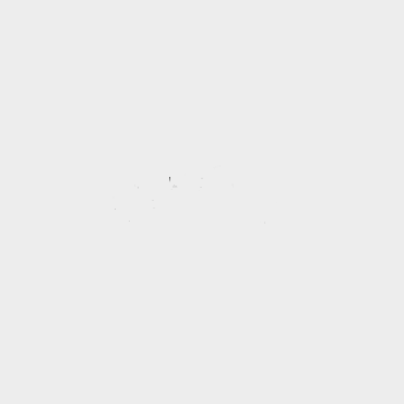 C[C@@H](Sc1cc(-c2c(F)c(F)c(F)c(F)c2F)c(F)cc1Cl)C(=O)N1CCC[C@H]1C(=O)O